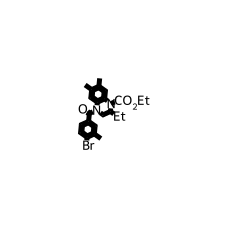 CCOC(=O)N1c2cc(C)c(C)cc2N(C(=O)c2ccc(Br)c(C)c2)CC1CC